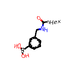 CCCCCCC(=O)NCc1cccc(B(O)O)c1